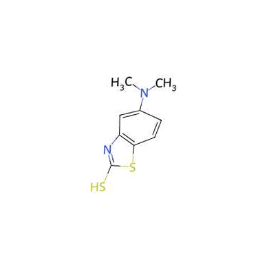 CN(C)c1ccc2sc(S)nc2c1